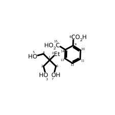 CCC(CO)(CO)CO.O=C(O)c1ccccc1C(=O)O